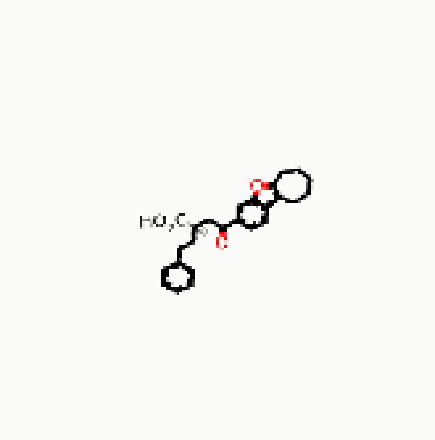 O=C(C[C@H](CCc1ccccc1)C(=O)O)c1ccc2c3c(oc2c1)CCCCC3